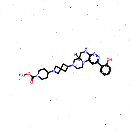 CC(C)(C)OC(=O)N1CCC(N2CC3(CC(N4CCN5c6cc(-c7ccccc7O)nnc6NC[C@H]5C4)C3)C2)CC1